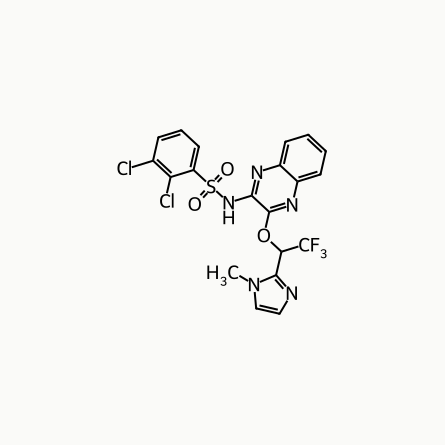 Cn1ccnc1C(Oc1nc2ccccc2nc1NS(=O)(=O)c1cccc(Cl)c1Cl)C(F)(F)F